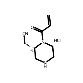 C=CC(=O)N1CCNC[C@@H]1CC#N.Cl